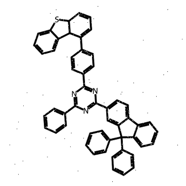 C1=CC2Sc3ccccc3C2C(c2ccc(-c3nc(-c4ccccc4)nc(-c4ccc5c(c4)C(c4ccccc4)(c4ccccc4)c4ccccc4-5)n3)cc2)=C1